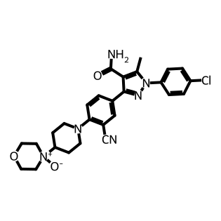 Cc1c(C(N)=O)c(-c2ccc(N3CCC([N+]4([O-])CCOCC4)CC3)c(C#N)c2)nn1-c1ccc(Cl)cc1